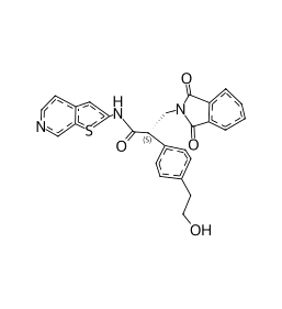 O=C(Nc1cc2ccncc2s1)[C@H](CN1C(=O)c2ccccc2C1=O)c1ccc(CCO)cc1